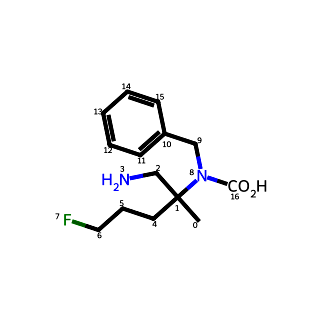 CC(CN)(CCCF)N(Cc1ccccc1)C(=O)O